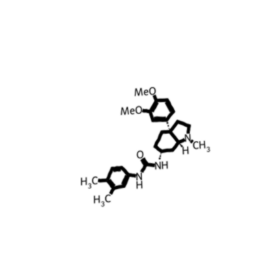 COc1ccc([C@@]23CC[C@@H](NC(=O)Nc4ccc(C)c(C)c4)C[C@@H]2N(C)CC3)cc1OC